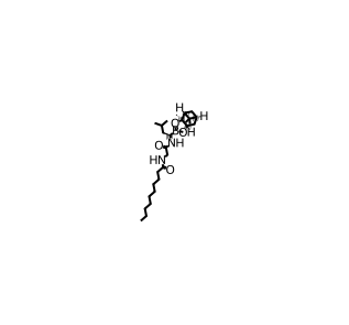 CCCCCCCCCC(=O)NCC(=O)N[C@@H](CC(C)C)B1O[C@@H]2C[C@@H]3C[C@@H](C3(C)C)[C@]2(C)O1